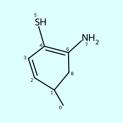 CC1C=CC(S)=C(N)C1